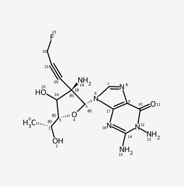 C[C@@H](O)[C@H]1O[C@@H](n2cnc3c(=O)n(N)c(N)nc32)[C@@](N)(C#CCF)C1O